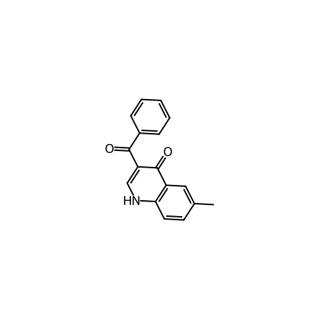 Cc1ccc2[nH]cc(C(=O)c3ccccc3)c(=O)c2c1